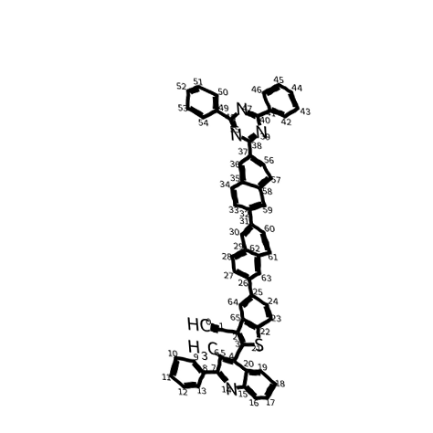 C#Cc1c(-c2c(C)c(-c3ccccc3)nc3ccccc23)sc2ccc(-c3ccc4cc(-c5ccc6cc(-c7nc(-c8ccccc8)nc(-c8ccccc8)n7)ccc6c5)ccc4c3)cc12